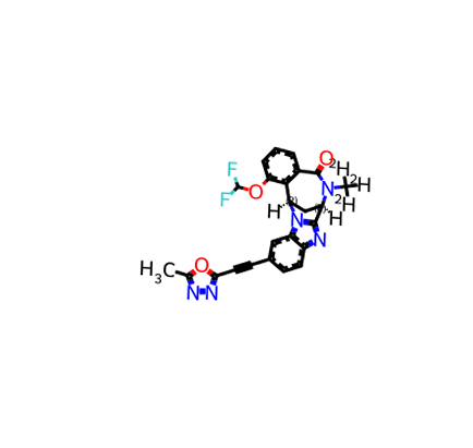 [2H]C([2H])([2H])N1C(=O)c2cccc(OC(F)F)c2[C@H]2C[C@@H]1c1nc3ccc(C#Cc4nnc(C)o4)cc3n12